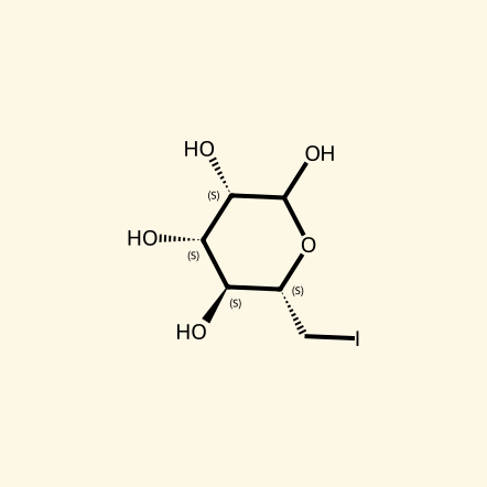 OC1O[C@H](CI)[C@@H](O)[C@H](O)[C@@H]1O